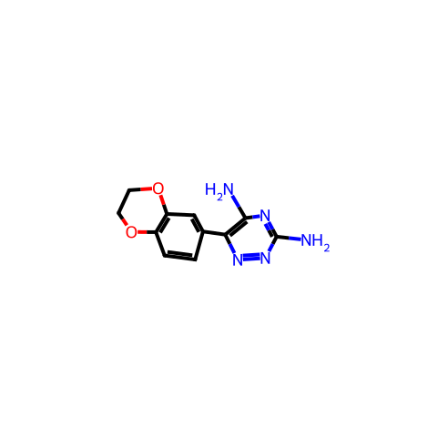 Nc1nnc(-c2ccc3c(c2)OCCO3)c(N)n1